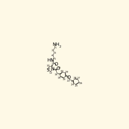 NCCCCCNC(=O)C1CSCN1C(=O)Cc1ccc(OCc2ccccc2)cc1